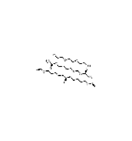 C=COCCCCOC(=O)OCCCCOC=C.NC(=O)OCCCCCCOC(N)=O.OCCOCCOCCO